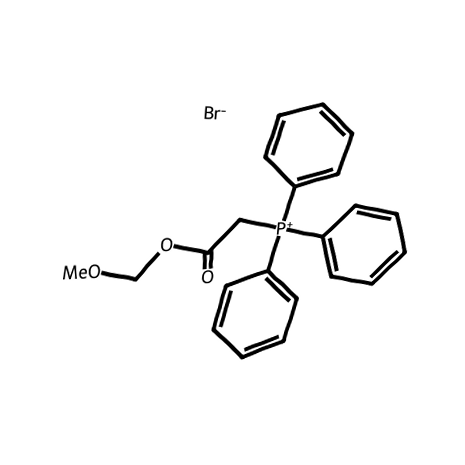 COCOC(=O)C[P+](c1ccccc1)(c1ccccc1)c1ccccc1.[Br-]